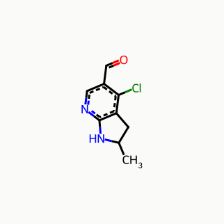 CC1Cc2c(ncc(C=O)c2Cl)N1